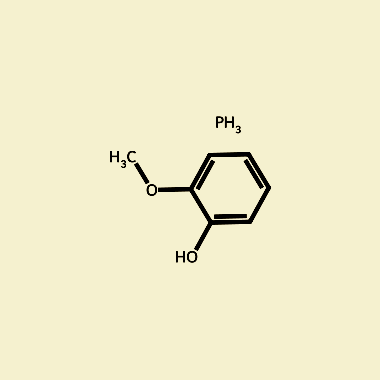 COc1ccccc1O.P